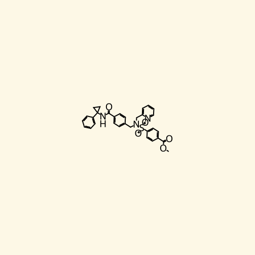 COC(=O)c1ccc(S(=O)(=O)N(Cc2ccc(C(=O)NC3(c4ccccc4)CC3)cc2)Cc2ccccn2)cc1